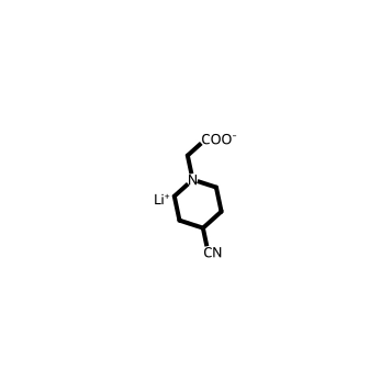 N#CC1CCN(CC(=O)[O-])CC1.[Li+]